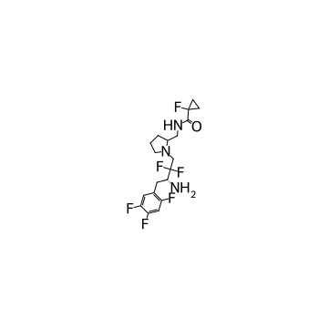 N[C@H](Cc1cc(F)c(F)cc1F)C(F)(F)CN1CCCC1CNC(=O)C1(F)CC1